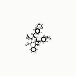 COCCn1c(-c2ccccc2)nc(-c2ccc(OC)cc2)c1CN(Cc1ccc2c(c1)OCCO2)CC1CC1